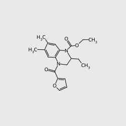 CCOC(=O)N1c2cc(C)c(C)cc2N(C(=O)c2ccco2)CC1CC